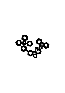 c1ccc([Si](c2ccccc2)(c2ccccc2)c2cccc(-c3ccc4oc5ccc(-n6c7ccccc7c7ccccc76)nc5c4c3)c2)cc1